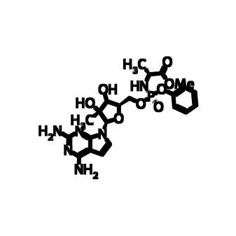 COC(=O)[C@H](C)NP(=O)(OC[C@H]1O[C@@H](n2ccc3c(N)nc(N)nc32)[C@](C)(O)C1O)Oc1ccccc1